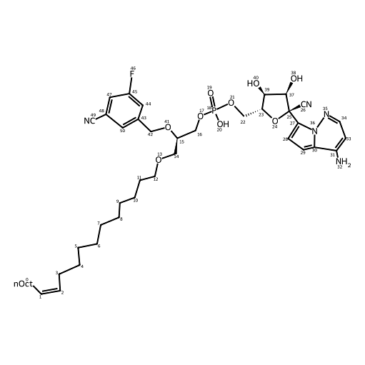 CCCCCCCC/C=C\CCCCCCCCCCOC[C@H](COP(=O)(O)OC[C@H]1O[C@@](C#N)(c2ccc3c(N)ccnn23)[C@H](O)[C@@H]1O)OCc1cc(F)cc(C#N)c1